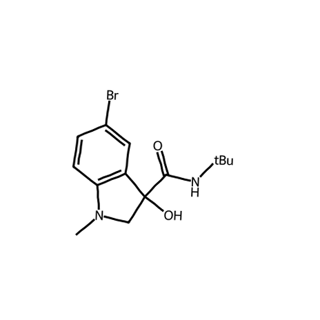 CN1CC(O)(C(=O)NC(C)(C)C)c2cc(Br)ccc21